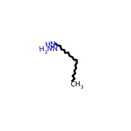 CCCCCCCC/C=C\CCCCCCCCC1CNC(N)=N1